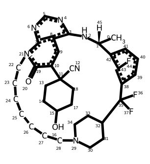 C[C@H]1Nc2ncnc3c2cc(C2(C#N)CCC(O)CC2)c(=O)n3CCCCCCCN2CCC(CC2)C(F)(F)c2cccc1c2F